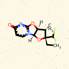 CC[C@@]1(C(F)F)O[C@@H]2[C@@H](Oc3nc(=O)ccn32)[C@@H]1C